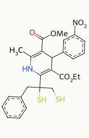 CCOC(=O)C1=C(C(S)(CS)Cc2ccccc2)NC(C)=C(C(=O)OC)C1c1cccc([N+](=O)[O-])c1